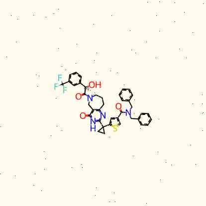 O=C(c1csc(C2(c3nc4c(c(=O)[nH]3)CN(C(=O)[C@H](O)c3cccc(C(F)(F)F)c3)CCC4)CC2)c1)N(Cc1ccccc1)Cc1ccccc1